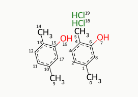 Cc1ccc(C)c(O)c1.Cc1ccc(C)c(O)c1.Cl.Cl